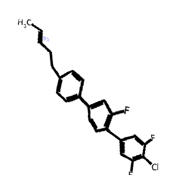 C/C=C/CCc1ccc(-c2ccc(-c3cc(F)c(Cl)c(F)c3)c(F)c2)cc1